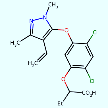 C=Cc1c(C)nn(C)c1Oc1cc(OC(CC)C(=O)O)c(Cl)cc1Cl